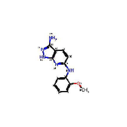 COc1ccccc1Nc1ccc2c(N)n[nH]c2n1